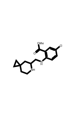 COC(=O)c1cc(Cl)ccc1NCC1CC2(CCN1)CC2